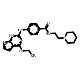 O=C(NCCN1CCCCC1)c1ccc(Nc2nc(NCC(F)(F)F)c3ccnc-3[nH]2)cc1